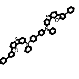 c1ccc(-c2ccc3oc4c(ccc5sc6ccc(N(c7ccccc7)c7ccc(-c8ccc(N(c9ccccc9)c9ccc%10sc%11ccc%12c%13cc(-c%14ccccc%14)ccc%13oc%12c%11c%10c9)cc8)cc7)cc6c54)c3c2)cc1